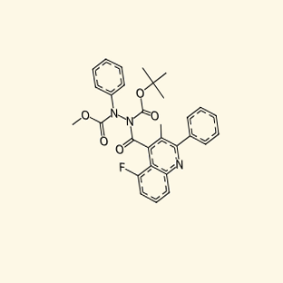 COC(=O)N(c1ccccc1)N(C(=O)OC(C)(C)C)C(=O)c1c(C)c(-c2ccccc2)nc2cccc(F)c12